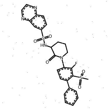 CS(=O)(=O)c1c(-c2ccccc2)ccc(N2CCCC(NS(=O)(=O)c3ccc4nccnc4c3)C2=O)c1F